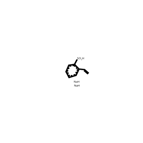 C=Cc1ccccc1S(=O)(=O)O.[NaH].[NaH]